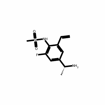 C=Cc1cc([C@@H](C)N)cc(F)c1NS(C)(=O)=O